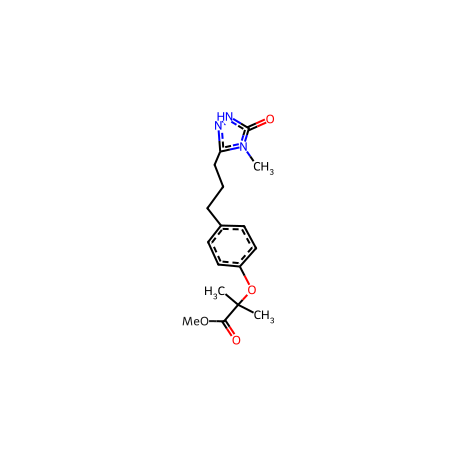 COC(=O)C(C)(C)Oc1ccc(CCCc2n[nH]c(=O)n2C)cc1